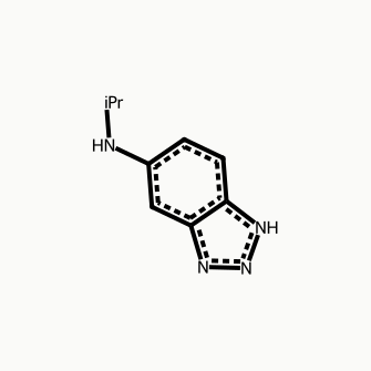 CC(C)Nc1ccc2[nH]nnc2c1